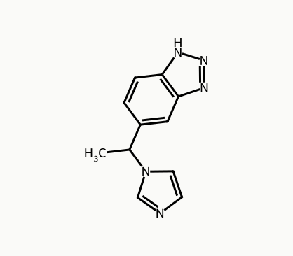 CC(c1ccc2[nH]nnc2c1)n1ccnc1